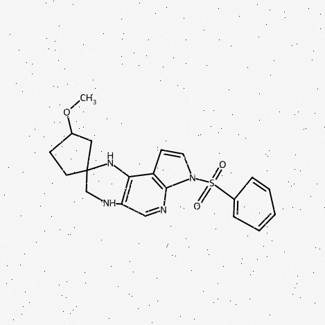 COC1CCC2(CNc3cnc4c(ccn4S(=O)(=O)c4ccccc4)c3N2)C1